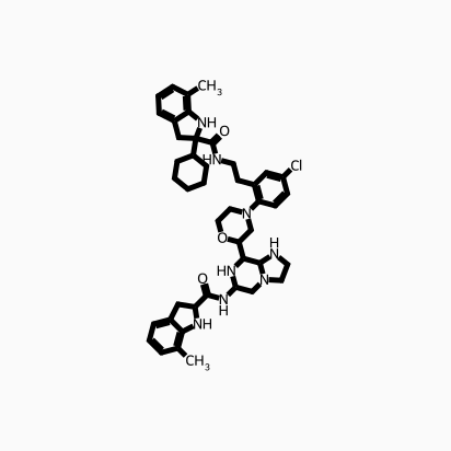 Cc1cccc2c1NC(C(=O)NC1CN3CCNC3C(C3CN(c4ccc(Cl)cc4CCNC(=O)C4(C5CCCCC5)Cc5cccc(C)c5N4)CCO3)N1)C2